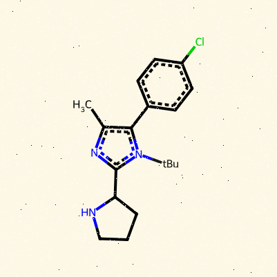 Cc1nc(C2CCCN2)n(C(C)(C)C)c1-c1ccc(Cl)cc1